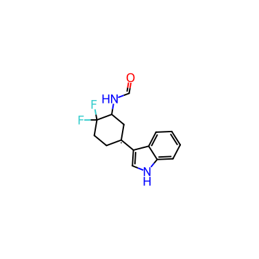 O=CNC1C[C](c2c[nH]c3ccccc23)CCC1(F)F